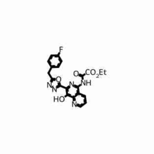 CCOC(=O)C(=O)Nc1nc(-c2nnc(Cc3ccc(F)cc3)o2)c(O)c2ncccc12